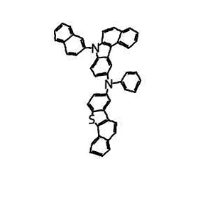 c1ccc(N(c2ccc3sc4c5ccccc5ccc4c3c2)c2ccc3c(c2)c2c4ccccc4ccc2n3-c2ccc3ccccc3c2)cc1